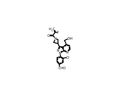 C=C(F)C(=O)N1CC(c2nn(-c3ccc(C=O)cc3Cl)c3nccc(CO)c23)C1